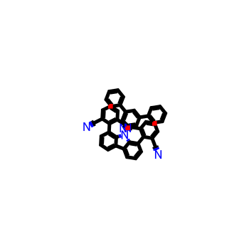 N#Cc1cccc(C#N)c1-c1cccc2c3cccc(-c4c(C#N)cccc4C#N)c3n(-c3cc(-c4ccccc4)cc(-c4ccccc4)c3)c12